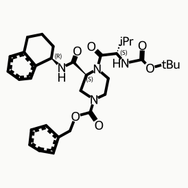 CC(C)[C@H](NC(=O)OC(C)(C)C)C(=O)N1CCN(C(=O)OCc2ccccc2)C[C@H]1C(=O)N[C@@H]1CCCc2ccccc21